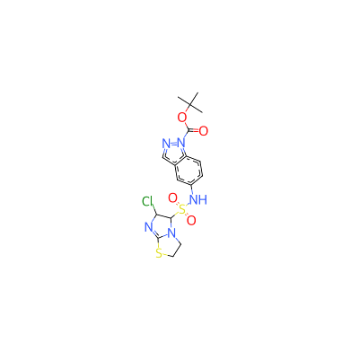 CC(C)(C)OC(=O)n1ncc2cc(NS(=O)(=O)C3C(Cl)N=C4SCCN43)ccc21